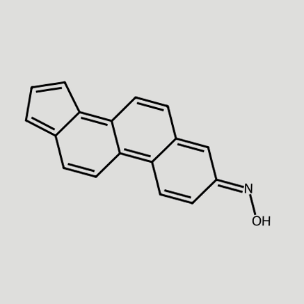 ON=C1C=Cc2c(ccc3c4c(ccc23)=CC=C4)=C1